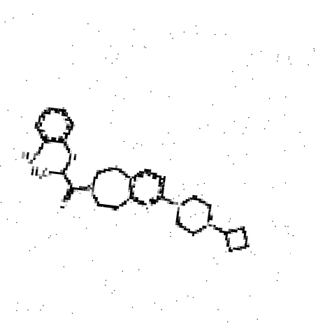 Cc1ccccc1OC(C)C(=O)N1CCc2cnc(N3CCN(C4CCC4)CC3)nc2CC1